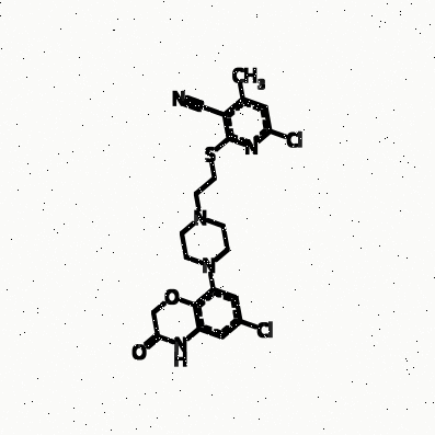 Cc1cc(Cl)nc(SCCN2CCN(c3cc(Cl)cc4c3OCC(=O)N4)CC2)c1C#N